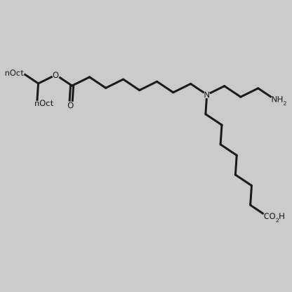 CCCCCCCCC(CCCCCCCC)OC(=O)CCCCCCCN(CCCN)CCCCCCCC(=O)O